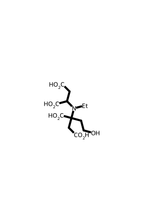 CCN(C(CC(=O)O)C(=O)O)C(CCO)(CC(=O)O)C(=O)O